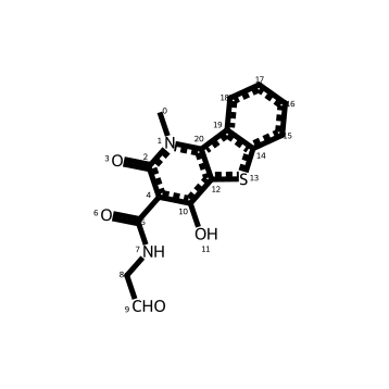 Cn1c(=O)c(C(=O)NCC=O)c(O)c2sc3ccccc3c21